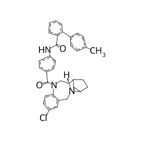 Cc1ccc(-c2ccccc2C(=O)Nc2ccc(C(=O)N3C[C@@H]4C5CCC(C5)N4Cc4cc(Cl)ccc43)cc2)cc1